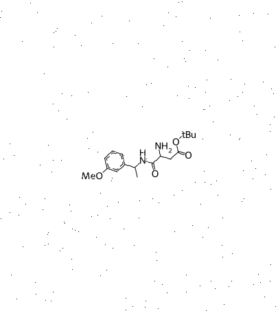 COc1cccc(C(C)NC(=O)C(N)CC(=O)OC(C)(C)C)c1